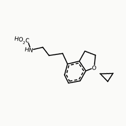 C1CC1.O=C(O)NCCCc1cccc2c1CCO2